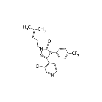 CC(C)=CCCn1nc(-c2ccncc2Cl)n(-c2ccc(C(F)(F)F)cc2)c1=O